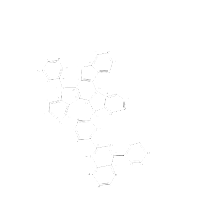 c1ccc(-c2nc(-c3cccc(-n4c5ccccc5c5c6c7ccccc7sc6c6c(c7ccccc7n6-c6ccccc6)c54)c3)nc3ccccc23)cc1